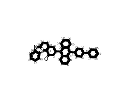 O=C1CC(c2c3ccccc3c(-c3ccc(-c4ccccc4)cc3)c3ccccc23)=Cc2ccc3nc4ccccc4n3c21